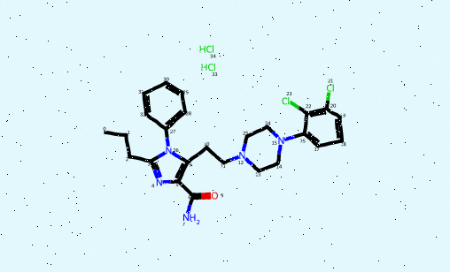 CCCc1nc(C(N)=O)c(CCN2CCN(c3cccc(Cl)c3Cl)CC2)n1-c1ccccc1.Cl.Cl